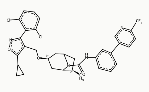 C[C@@H]1CC2C[C@H](OCc3c(-c4c(Cl)cccc4Cl)noc3C3CC3)CC1N2C(=O)Nc1cccc(-c2ccc(C(F)(F)F)nc2)c1